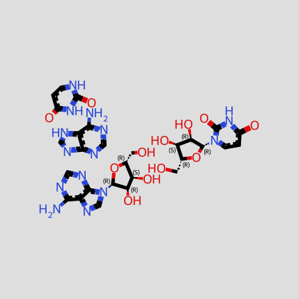 Nc1ncnc2c1ncn2[C@@H]1O[C@H](CO)[C@@H](O)[C@H]1O.Nc1ncnc2nc[nH]c12.O=c1cc[nH]c(=O)[nH]1.O=c1ccn([C@@H]2O[C@H](CO)[C@@H](O)[C@H]2O)c(=O)[nH]1